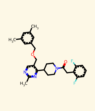 Cc1cc(C)cc(COCc2cnc(C)nc2C2CCN(C(=O)Cc3c(F)cccc3F)CC2)c1